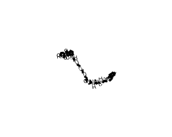 O=C1CCC(N2C(=O)c3cccc(NCCOCCOCCOCCC(=O)N4CC(Nc5cc(C(=O)NC[C@H](O)CN6CCc7ccccc7C6)ncn5)C4)c3C2=O)C(=O)N1